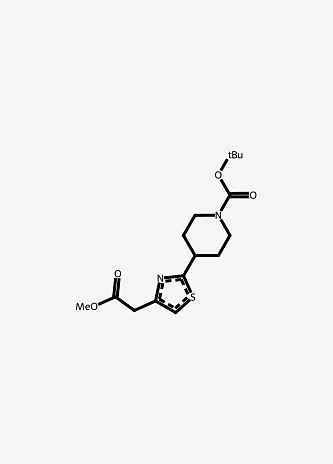 COC(=O)Cc1csc(C2CCN(C(=O)OC(C)(C)C)CC2)n1